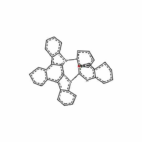 c1ccc(-n2c3ccccc3c3c4ccccc4c4c5ccccc5n(-c5ncc6ccccc6n5)c4c32)cc1